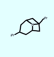 CC(C)C1CC2CC3(C(C)C)CC(C1)N23